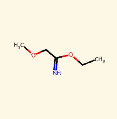 CCOC(=N)COC